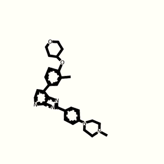 Cc1cc(-c2ccnc3[nH]c(-c4ccc(N5CCN(C)CC5)cc4)nc23)ccc1OC1CCOCC1